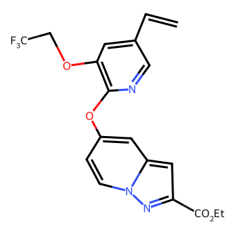 C=Cc1cnc(Oc2ccn3nc(C(=O)OCC)cc3c2)c(OCC(F)(F)F)c1